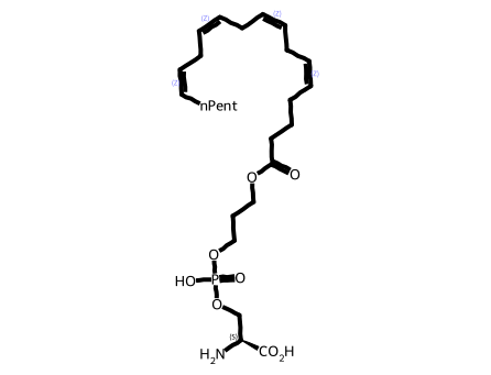 CCCCC/C=C\C/C=C\C/C=C\C/C=C\CCCC(=O)OCCCOP(=O)(O)OC[C@H](N)C(=O)O